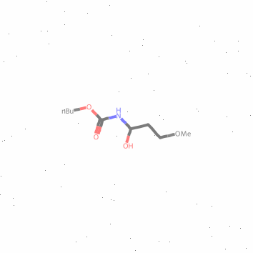 CCCCOC(=O)NC(O)CCOC